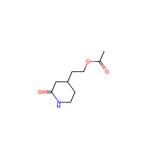 CC(=O)OCCC1CCNC(=O)C1